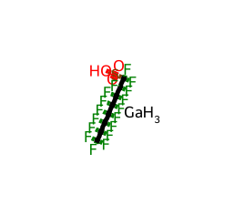 O=S(=O)(O)C(F)(F)C(F)(F)C(F)(F)C(F)(F)C(F)(F)C(F)(F)C(F)(F)C(F)(F)F.[GaH3]